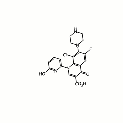 O=C(O)c1cn(-c2cccc(O)n2)c2c(Cl)c(N3CCNCC3)c(F)cc2c1=O